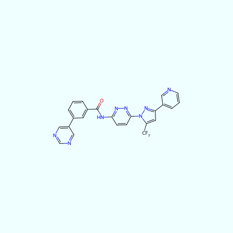 O=C(Nc1ccc(-n2nc(-c3cccnc3)cc2C(F)(F)F)nn1)c1cccc(-c2cncnc2)c1